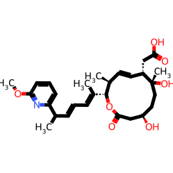 COc1cccc(C(C)/C=C/C=C(\C)[C@H]2OC(=O)C[C@H](O)CC[C@@](C)(O)[C@@H](CC(=O)O)/C=C/[C@@H]2C)n1